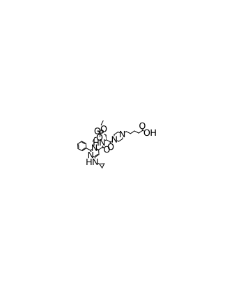 CCOP(=O)(C[C@H](NC(=O)c1cc(NC2CC2)nc(-c2ccccc2)n1)C(=O)N1CCN(CCCCC(=O)O)CC1)OCC